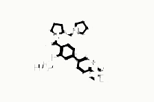 CCS(=O)(=O)c1ccc(-c2ccc(C(=O)N3CCC[C@H]3CN3CCCC3)c(F)c2)cn1.Cl.Cl